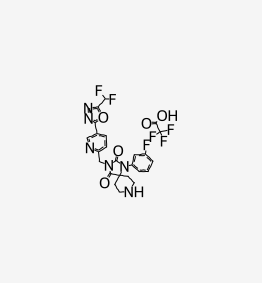 O=C(O)C(F)(F)F.O=C1N(Cc2ccc(-c3nnc(C(F)F)o3)cn2)C(=O)C2(CCNCC2)N1c1cccc(F)c1